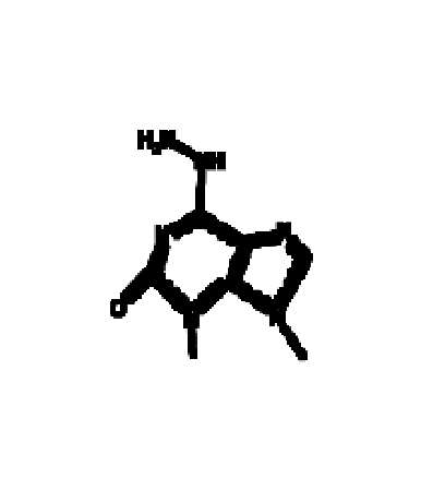 Cn1cnc2c(NN)nc(=O)n(C)c21